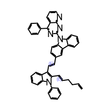 C=CCC/C=C/c1c(/C=C/c2ccc3c(c2)c2ccccc2n3-c2nc(-c3ccccc3)c3cccnc3n2)c2ccccc2n1-c1ccccc1